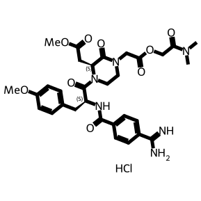 COC(=O)C[C@H]1C(=O)N(CC(=O)OCC(=O)N(C)C)CCN1C(=O)[C@H](Cc1ccc(OC)cc1)NC(=O)c1ccc(C(=N)N)cc1.Cl